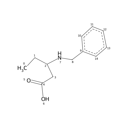 CCC(CC(=O)O)NCc1ccccc1